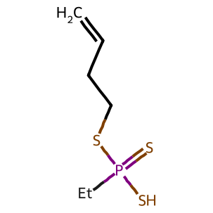 C=CCCSP(=S)(S)CC